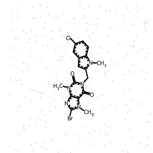 Cn1c(Cn2c(=O)c3c(nc(Br)n3C)n(C)c2=O)cc2cc(Cl)ccc21